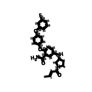 CC=CC(=O)N1CCC(Nc2cnc(Oc3ccc(Oc4cccc(F)c4)cc3)c(C(N)=O)c2)C1